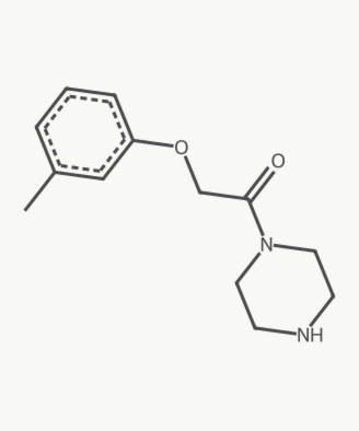 Cc1cccc(OCC(=O)N2CCNCC2)c1